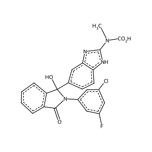 CN(C(=O)O)c1nc2cc(C3(O)c4ccccc4C(=O)N3c3cc(F)cc(Cl)c3)ccc2[nH]1